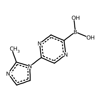 Cc1nccn1-c1cnc(B(O)O)cn1